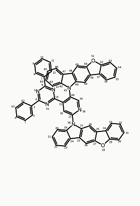 c1ccc(-c2nc(-c3ccccc3)nc(-c3cc(-n4c5ccccc5c5cc6oc7ccccc7c6cc54)ncc3-n3c4ccccc4c4cc5oc6ccccc6c5cc43)n2)cc1